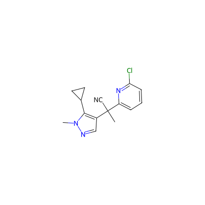 Cn1ncc(C(C)(C#N)c2cccc(Cl)n2)c1C1CC1